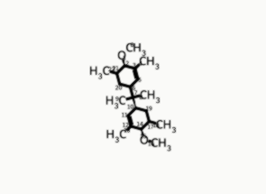 CO[C@H]1C(C)=CC(C(C)(C)[C@@H]2C=C(C)[C@H](OC)C(C)C2)CC1C